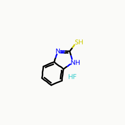 F.Sc1nc2ccccc2[nH]1